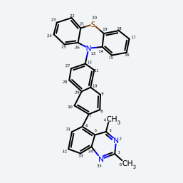 Cc1nc(C)c2c(-c3ccc4cc(N5c6ccccc6Sc6ccccc65)ccc4c3)cccc2n1